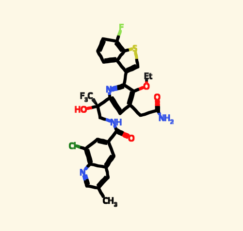 CCOc1c(CC(N)=O)cc([C@@](O)(CNC(=O)c2cc(Cl)c3ncc(C)cc3c2)C(F)(F)F)nc1-c1csc2c(F)cccc12